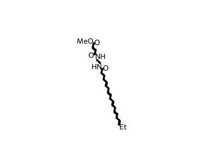 CCC=CCC=CCC=CCC=CCC=CCCCC(=O)NCCNC(=O)C=CC(=O)OC